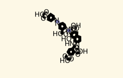 O=C(O)c1cc(/N=N/c2ccc(S(=O)(=O)O)cc2)ccc1/N=N/c1c(S(=O)(=O)O)cc2ccc3nc(-c4ccc(S(=O)(=O)O)cc4S(=O)(=O)O)[nH]c3c2c1O